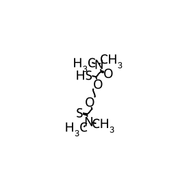 CN(C)C(=O)C(S)OCCOCC(=S)N(C)C